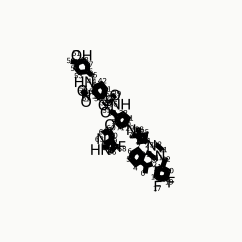 CC(C)c1ccccc1[C@@H]1CN(Cc2ccc(F)c(F)c2)CCN1C1CC2(C1)CN(c1ccc(C(=O)NS(=O)(=O)c3ccc(NCC4CCC(C)(O)CC4)c([N+](=O)[O-])c3)c(Oc3cnc4[nH]cc(F)c4c3)c1)C2